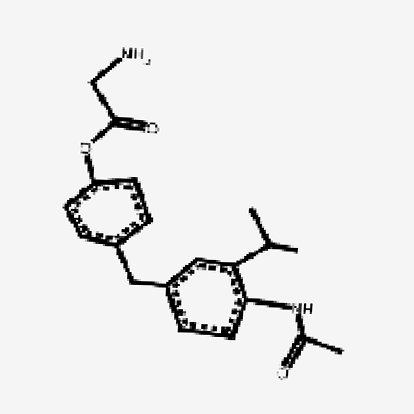 CC(=O)Nc1ccc(Cc2ccc(OC(=O)CN)cc2)cc1C(C)C